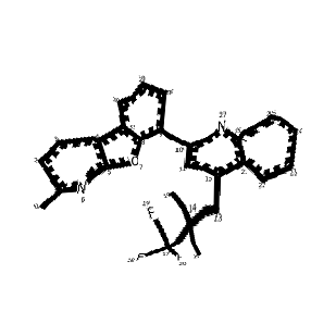 Cc1ccc2c(n1)oc1c(-c3cc(CC(C)(C)C(F)(F)F)c4ccccc4n3)cccc12